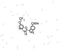 COc1ccc2c(c1)c(C(=O)N[C@H](C)c1ccc(OCC(F)(F)F)cn1)cn2C